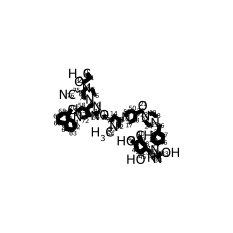 C=CC(=O)N1CCN(c2nc(OC[C@@H]3C[C@H](N4CCC(C(=O)N5CCN(Cc6ccc(-n7c(O)nnc7-c7cc(C)c(O)cc7O)cc6)CC5)CC4)CN3C)nc3c2CCN(c2cccc4cccc(Cl)c24)C3)C[C@@H]1CC#N